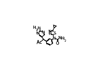 CC(=O)C(c1cnc(N)nc1)c1cccc(N(C(N)=O)c2nnc(C3CC3)s2)c1